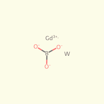 [Gd+3].[O-]B([O-])[O-].[W]